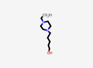 CCOC(=O)CN1CCN(CCCCCO)CC1